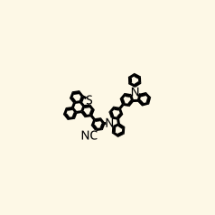 N#Cc1cc(-c2cc3sc4cccc5c6ccccc6c(c2)c3c45)cc(-n2c3ccccc3c3cc(-c4ccc5c(c4)c4ccccc4n5-c4ccccc4)ccc32)c1